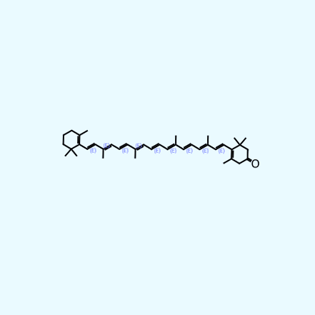 CC1=C(/C=C/C(C)=C/C=C/C(C)=C/C=C/C=C(C)/C=C/C=C(C)/C=C/C2=C(C)CC(=O)CC2(C)C)C(C)(C)CCC1